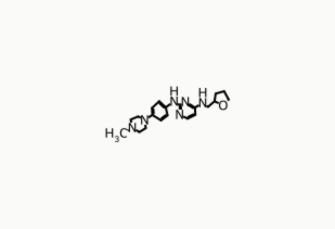 CN1CCN(c2ccc(Nc3nccc(NCC4CCCO4)n3)cc2)CC1